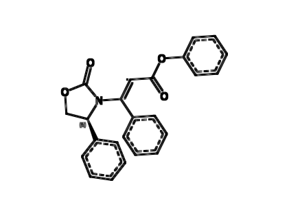 O=C([C]=C(c1ccccc1)N1C(=O)OC[C@@H]1c1ccccc1)Oc1ccccc1